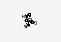 C[C@@H](NC(=O)[C@H]1CCCc2c1nn(-c1ccc(Cl)cc1Cl)c2-c1ccc(Br)s1)C1CCCCC1